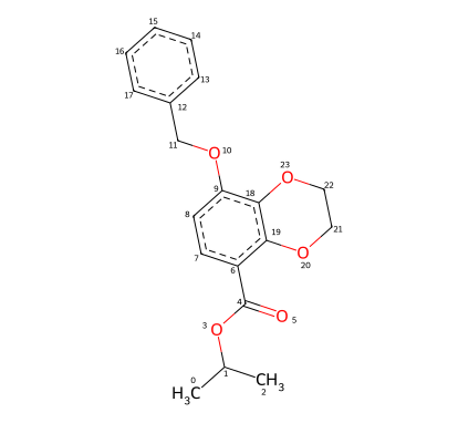 CC(C)OC(=O)c1ccc(OCc2ccccc2)c2c1OCCO2